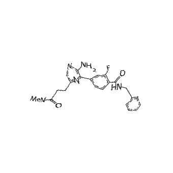 CNC(=O)CCc1cnc(N)c(-c2ccc(C(=O)NCc3ccccc3)c(F)c2)n1